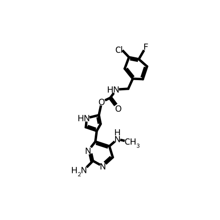 CNc1cnc(N)nc1-c1c[nH]c(OC(=O)NCc2ccc(F)c(Cl)c2)c1